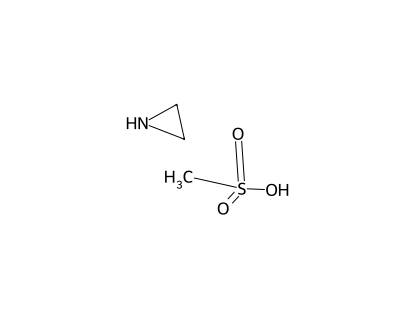 C1CN1.CS(=O)(=O)O